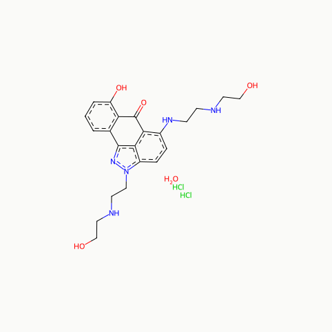 Cl.Cl.O.O=C1c2c(O)cccc2-c2nn(CCNCCO)c3ccc(NCCNCCO)c1c23